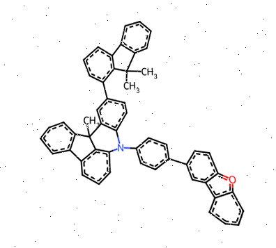 CC1(C)c2ccccc2-c2cccc(-c3ccc4c(c3)C3(C)c5ccccc5-c5cccc(c53)N4c3ccc(-c4ccc5oc6ccccc6c5c4)cc3)c21